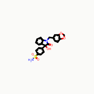 NS(=O)(=O)c1ccc(C2(O)C(=O)N(Cc3ccc4c(c3)OCO4)c3ccccc32)cc1